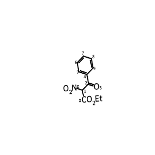 CCOC(=O)C(C(=O)c1ccccc1)[N+](=O)[O-]